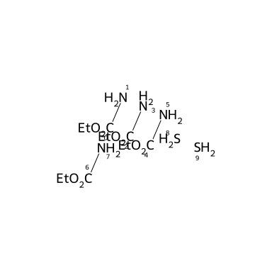 CCOC(N)=O.CCOC(N)=O.CCOC(N)=O.CCOC(N)=O.S.S